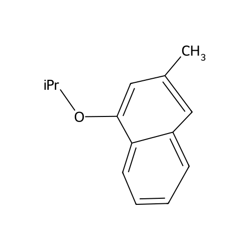 Cc1cc(OC(C)C)c2ccccc2c1